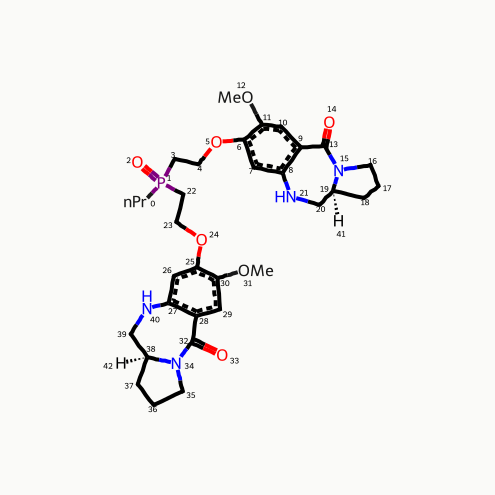 CCCP(=O)(CCOc1cc2c(cc1OC)C(=O)N1CCC[C@H]1CN2)CCOc1cc2c(cc1OC)C(=O)N1CCC[C@H]1CN2